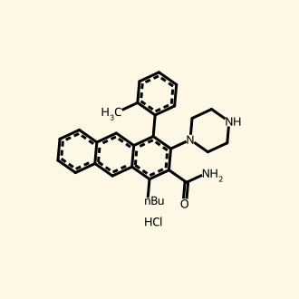 CCCCc1c(C(N)=O)c(N2CCNCC2)c(-c2ccccc2C)c2cc3ccccc3cc12.Cl